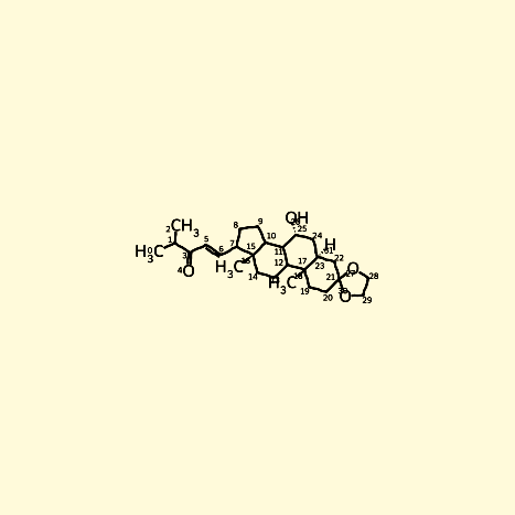 CC(C)C(=O)/C=C/C1CCC2C3C(CC[C@]12C)[C@@]1(C)CCC2(C[C@@H]1C[C@H]3O)OCCO2